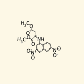 COC(=O)C[C@H](Nc1cc([N+](=O)[O-])cc2cc([N+](=O)[O-])ccc12)C(=O)OC